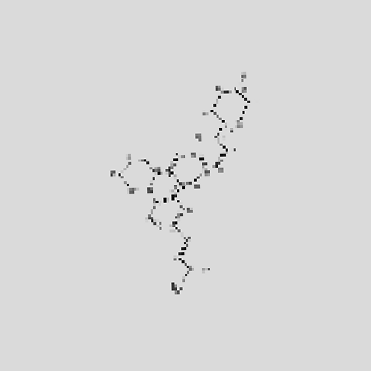 C=C(/C=C/c1cccc(N(Cc2ccc(N3CCN(C)CC3)cc2)C(=C)C2CCCCC2)c1)CC